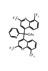 CC(=O)OC(c1ccccn1)(c1cc(C(F)(F)F)nc2c(C(F)(F)F)cccc12)c1cc(C(F)(F)F)nc2c(C(F)(F)F)cccc12